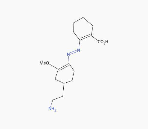 COC1=C(N=NC2=C(C(=O)O)CCCC2)CCC(CCN)C1